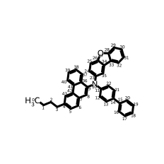 CCCCc1ccc2cc(N(c3ccc(-c4ccccc4)cc3)c3ccc4oc5ccccc5c4c3)c3ccccc3c2c1